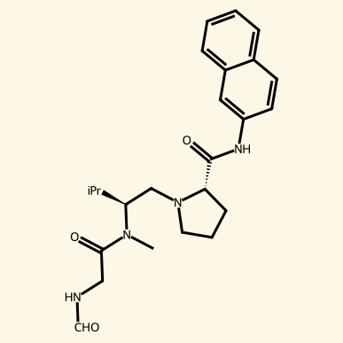 CC(C)[C@@H](CN1CCC[C@H]1C(=O)Nc1ccc2ccccc2c1)N(C)C(=O)CNC=O